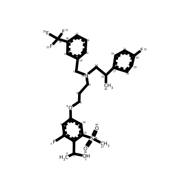 CC(O)c1c(F)cc(OCCCN(Cc2cccc(C(F)(F)F)c2)CC(C)c2ccc(F)cc2)cc1S(C)(=O)=O